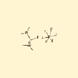 CN(C)C(F)=[N+](C)C.F[P-](F)(F)(F)(F)F